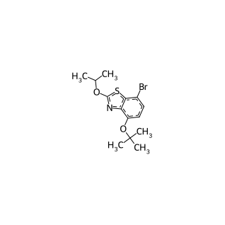 CC(C)Oc1nc2c(OC(C)(C)C)ccc(Br)c2s1